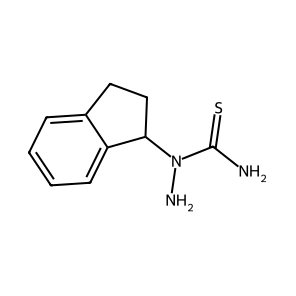 NC(=S)N(N)C1CCc2ccccc21